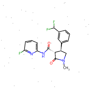 CN1C[C@H](c2cccc(C(F)F)c2)[C@@H](C(=O)Nc2cccc(F)n2)C1=O